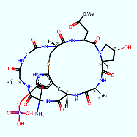 CC[C@H](C)[C@@H]1NC(=O)CNC(=O)[C@@H]2Cc3c([nH]c4cc(OP(=O)(O)O)c(N)cc34)SC[C@H](NC(=O)CNC1=O)C(=O)NC(CC(=O)OC)C(=O)N1C[C@H](O)C[C@H]1C(=O)N[C@@H]([C@@H](C)CC)C(=O)N2